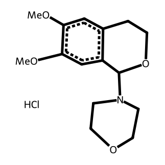 COc1cc2c(cc1OC)C(N1CCOCC1)OCC2.Cl